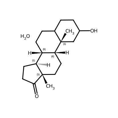 C[C@]12CC(O)CCC1CC[C@@H]1[C@H]2CC[C@]2(C)C(=O)CC[C@@H]12.O